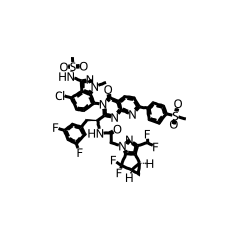 Cn1nc(NS(C)(=O)=O)c2c(Cl)ccc(-n3c([C@H](Cc4cc(F)cc(F)c4)NC(=O)Cn4nc(C(F)F)c5c4C(F)(F)[C@@H]4C[C@H]54)nc4nc(-c5ccc(S(C)(=O)=O)cc5)ccc4c3=O)c21